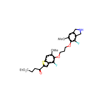 CCOC(=O)CCC(=O)c1cc2c(F)c(OCCCOc3c(OC)cc4c(c3F)CNC4)c(OC)cc2s1